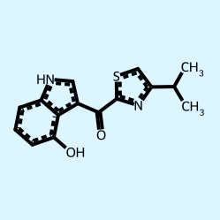 CC(C)c1csc(C(=O)c2c[nH]c3cccc(O)c23)n1